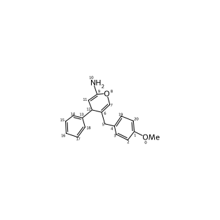 COc1ccc(CC2=COC(N)=CC2c2ccccc2)cc1